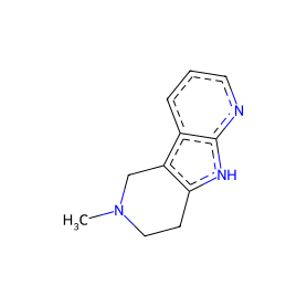 CN1CCc2[nH]c3ncccc3c2C1